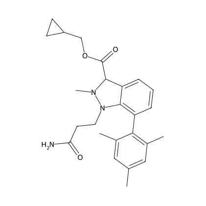 Cc1cc(C)c(-c2cccc3c2N(CCC(N)=O)N(C)C3C(=O)OCC2CC2)c(C)c1